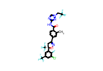 Cc1cc(C2=NO[C@](c3cc(C(F)(F)F)cc(Cl)c3F)(C(F)(F)F)C2)ccc1C(=O)Nc1ncn(CC(F)(F)F)n1